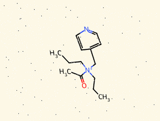 CCC[N+](CCC)(Cc1ccncc1)C(C)=O